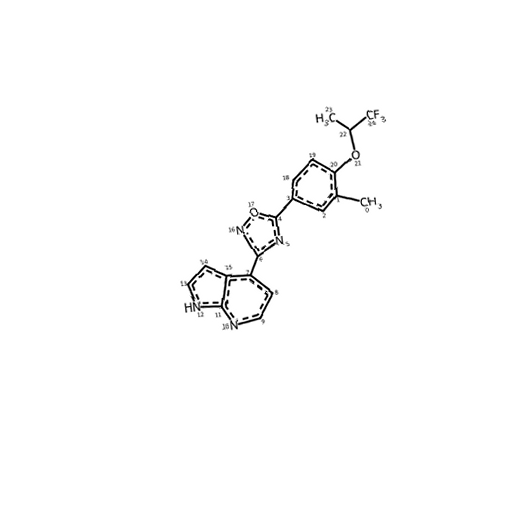 Cc1cc(-c2nc(-c3ccnc4[nH]ccc34)no2)ccc1OC(C)C(F)(F)F